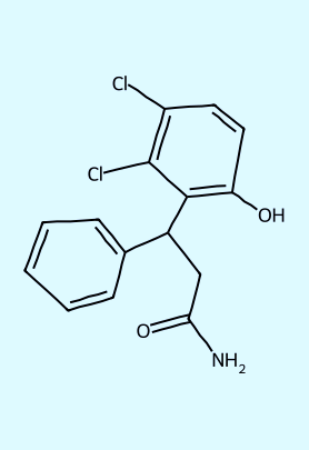 NC(=O)CC(c1ccccc1)c1c(O)ccc(Cl)c1Cl